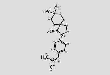 CCCC1(O)CCC2(CCN(c3ccc(O[C@@H](C)C(F)(F)F)cc3)C2=O)CC1